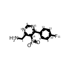 NCc1ncnc(-c2ccc(F)cc2)c1[N+](=O)[O-]